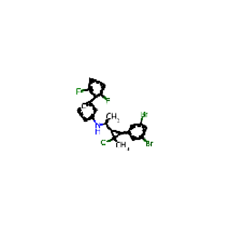 C=C(Nc1cccc(-c2c(F)cccc2F)c1)C1C(c2cc(Br)cc(Br)c2)C1(C)Cl